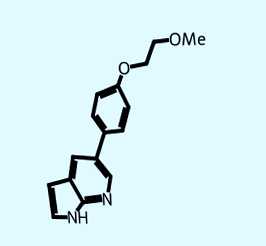 COCCOc1ccc(-c2cnc3[nH]ccc3c2)cc1